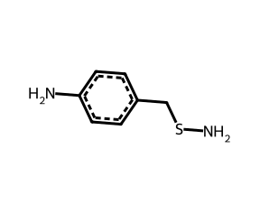 NSCc1ccc(N)cc1